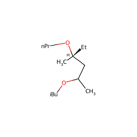 CCCO[C@](C)(CC)CC(C)OC(C)CC